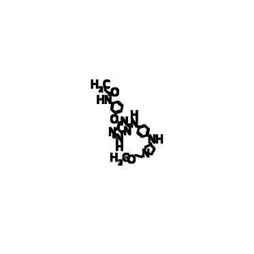 C=CC(=O)Nc1cccc(Oc2nc(Nc3ccc(N[C@H]4CCN(CCOC)C4)cc3)nc3[nH]cnc23)c1